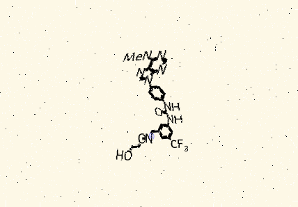 CNc1ncnc2c1ncn2-c1ccc(NC(=O)Nc2cc(/C=N/OCCO)cc(C(F)(F)F)c2)cc1